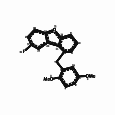 COc1ccc(OC)c(Cc2[c]ccc3oc4ccc(F)cc4c23)c1